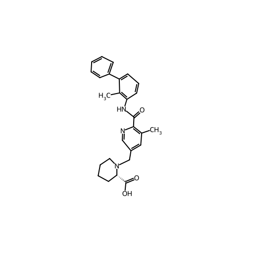 Cc1cc(CN2CCCC[C@H]2C(=O)O)cnc1C(=O)Nc1cccc(-c2ccccc2)c1C